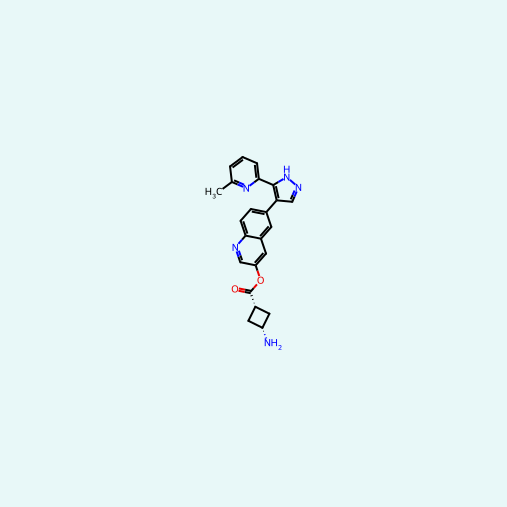 Cc1cccc(-c2[nH]ncc2-c2ccc3ncc(OC(=O)[C@H]4C[C@@H](N)C4)cc3c2)n1